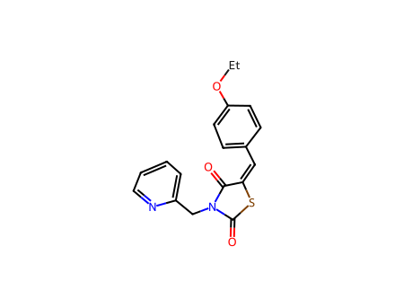 CCOc1ccc(/C=C2/SC(=O)N(Cc3ccccn3)C2=O)cc1